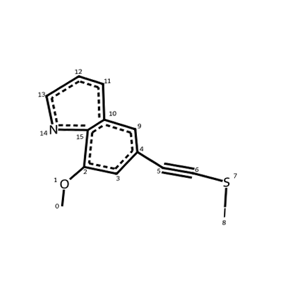 COc1cc(C#CSI)cc2cccnc12